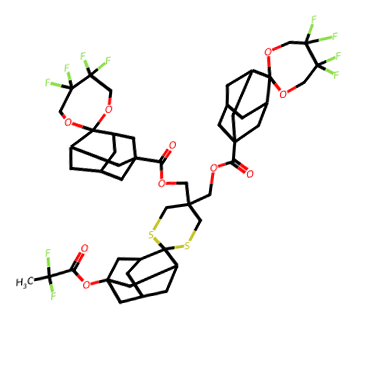 CC(F)(F)C(=O)OC12CC3CC(C1)C1(SCC(COC(=O)C45CC6CC(C4)C4(OCC(F)(F)C(F)(F)CO4)C(C6)C5)(COC(=O)C45CC6CC(C4)C4(OCC(F)(F)C(F)(F)CO4)C(C6)C5)CS1)C(C3)C2